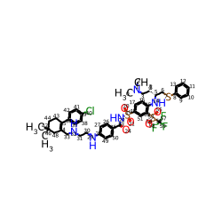 CN(C)CC[C@H](CSc1ccccc1)Nc1ccc(S(=O)(=O)NC(=O)c2ccc(NCCNCC3=C(c4ccc(Cl)cc4)CCC(C)(C)C3)cc2)cc1S(=O)(=O)C(F)(F)F